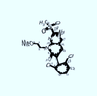 COCCn1c(=O)c(-c2c(Cl)cccc2Cl)cc2cnc(S(C)(=O)=O)nc21